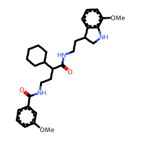 COc1cccc(C(=O)NCCC(C(=O)NCCC2CNc3c(OC)cccc32)C2CCCCC2)c1